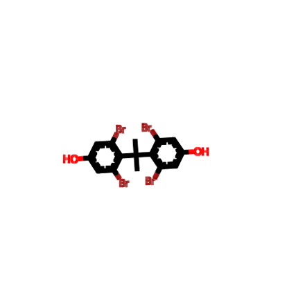 CC(C)(c1c(Br)cc(O)cc1Br)c1c(Br)cc(O)cc1Br